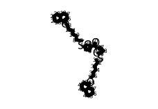 O=C(c1ccc(SCCCCCCCOc2cccc3ccccc23)o1)c1ccc(SCCCCCCCOc2cccc3ccccc23)o1